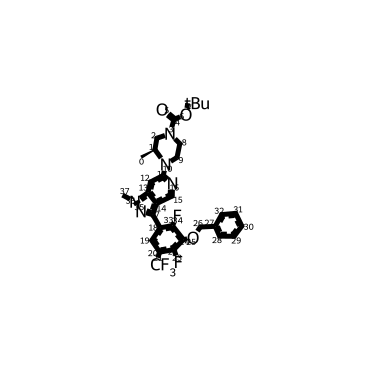 C[C@H]1CN(C(=O)OC(C)(C)C)CCN1c1cc2c(cn1)c(-c1cc(C(F)(F)F)c(F)c(OCc3ccccc3)c1F)nn2C